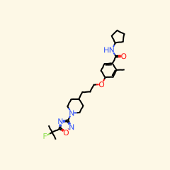 CC1=CC(OCCCC2CCN(c3noc(C(C)(C)F)n3)CC2)CC=C1C(=O)NC1CCCC1